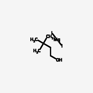 CC(C)(C)CCO.[I][Mg][I]